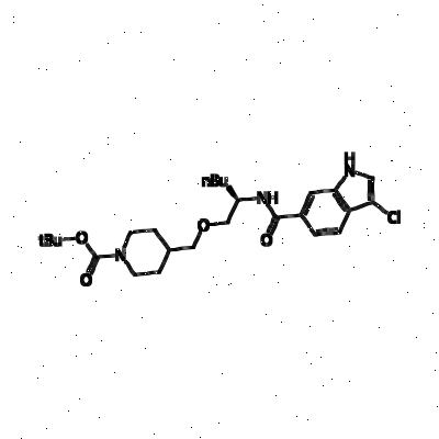 CCCC[C@H](COCC1CCN(C(=O)OC(C)(C)C)CC1)NC(=O)c1ccc2c(Cl)c[nH]c2c1